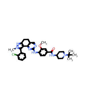 COc1cc(C(=O)NC2CCN(C(C)(C)C)CC2)ccc1Nc1ncc2c(n1)-c1c(nn(C)c1-c1ccccc1Cl)CC2